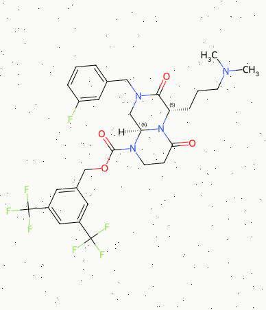 CN(C)CCC[C@H]1C(=O)N(Cc2cccc(F)c2)C[C@@H]2N(C(=O)OCc3cc(C(F)(F)F)cc(C(F)(F)F)c3)CCC(=O)N21